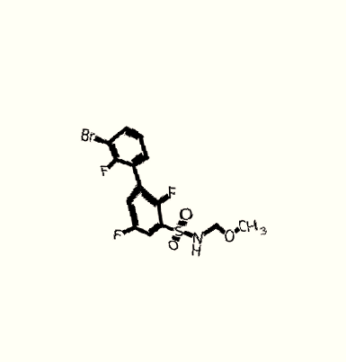 COCNS(=O)(=O)c1cc(F)cc(-c2cccc(Br)c2F)c1F